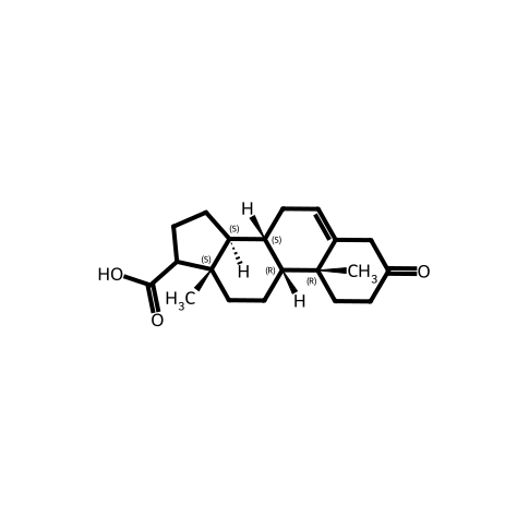 C[C@]12CCC(=O)CC1=CC[C@@H]1[C@H]2CC[C@]2(C)C(C(=O)O)CC[C@@H]12